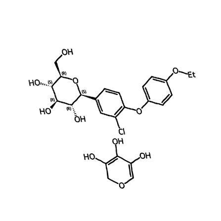 CCOc1ccc(Oc2ccc([C@@H]3O[C@H](CO)[C@@H](O)[C@H](O)[C@H]3O)cc2Cl)cc1.OC1=COCC(O)=C1O